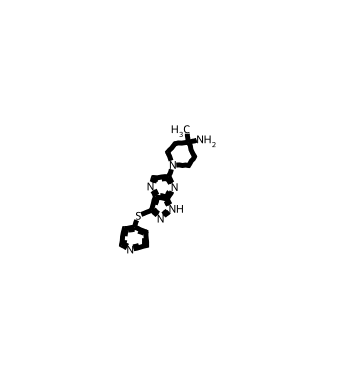 CC1(N)CCN(c2cnc3c(Sc4ccncc4)n[nH]c3n2)CC1